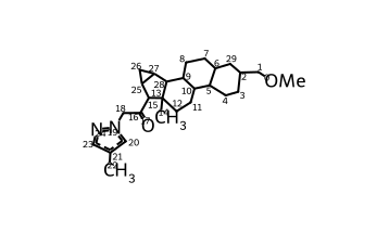 COCC1CCC2C(CCC3C2CCC2(C)C(C(=O)Cn4cc(C)cn4)C4CC4C32)C1